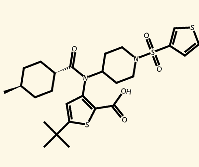 CC(C)(C)c1cc(N(C(=O)[C@H]2CC[C@H](C)CC2)C2CCN(S(=O)(=O)c3ccsc3)CC2)c(C(=O)O)s1